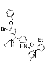 CCc1cccc(-n2nc(C)cc2C(=O)Nc2cccc(C(NCC3CC3)c3ccc(OCc4ccccc4)c(Br)c3)c2)c1